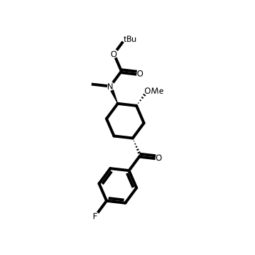 CO[C@@H]1C[C@H](C(=O)c2ccc(F)cc2)CC[C@H]1N(C)C(=O)OC(C)(C)C